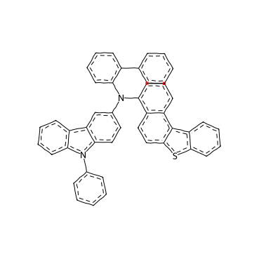 c1ccc(-c2ccccc2N(c2ccc3c(c2)c2ccccc2n3-c2ccccc2)c2cccc3c2ccc2sc4ccccc4c23)cc1